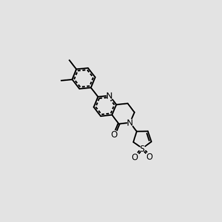 Cc1ccc(-c2ccc3c(n2)CCN(C2C=CS(=O)(=O)C2)C3=O)cc1C